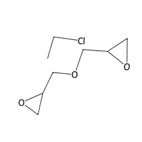 C(OCC1CO1)C1CO1.CCCl